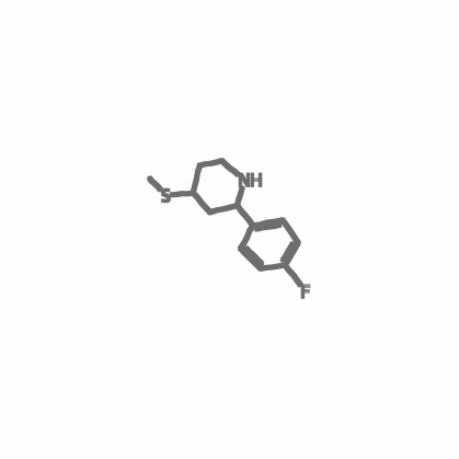 CSC1CCNC(c2ccc(F)cc2)C1